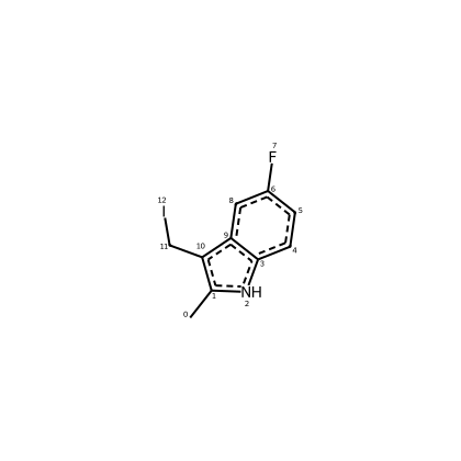 Cc1[nH]c2ccc(F)cc2c1CI